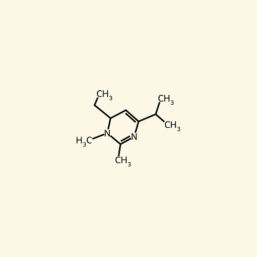 CCC1C=C(C(C)C)N=C(C)N1C